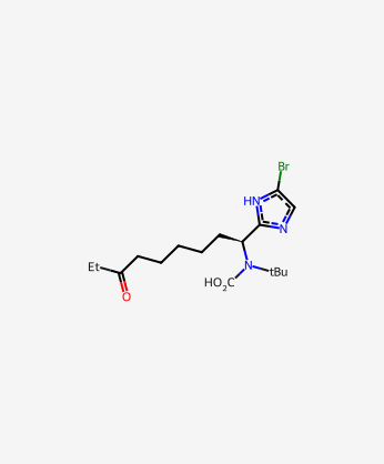 CCC(=O)CCCCC[C@@H](c1ncc(Br)[nH]1)N(C(=O)O)C(C)(C)C